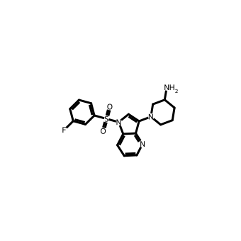 NC1CCCN(c2cn(S(=O)(=O)c3cccc(F)c3)c3cccnc23)C1